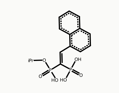 CC(C)OP(=O)(O)C(=Cc1cccc2ccccc12)P(=O)(O)O